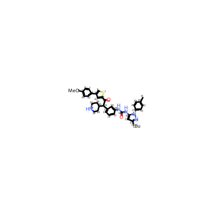 COc1ccc(-c2csc(C(=O)C(c3cccc(NC(=O)Nc4cc(C(C)(C)C)nn4-c4ccc(C)cc4)c3)C3CCNCC3)c2)cc1